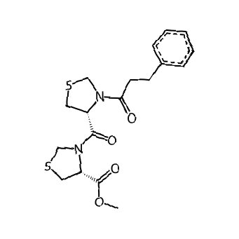 COC(=O)[C@@H]1CSCN1C(=O)[C@@H]1CSCN1C(=O)CCc1ccccc1